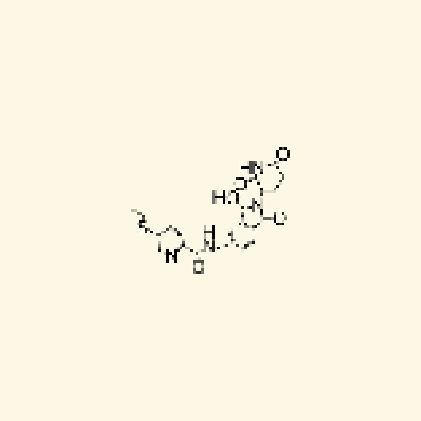 CCSc1ccc(C(=O)NCc2ccc3c(c2)C(O)N(C2CCC(=O)NC2=O)C3=O)nc1